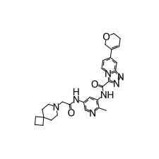 Cc1ncc(NC(=O)CN2CCC3(CCC3)CC2)cc1NC(=O)c1nnc2cc(C3=CCCOC3)ccn12